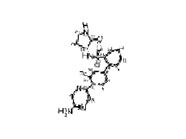 Nc1cnc(-c2ccc(-c3ccccc3S(=O)(=O)N[C@@H]3CCNC3=O)cc2F)cn1